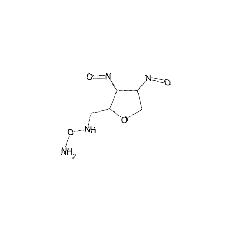 NONCC1OCC(N=O)C1N=O